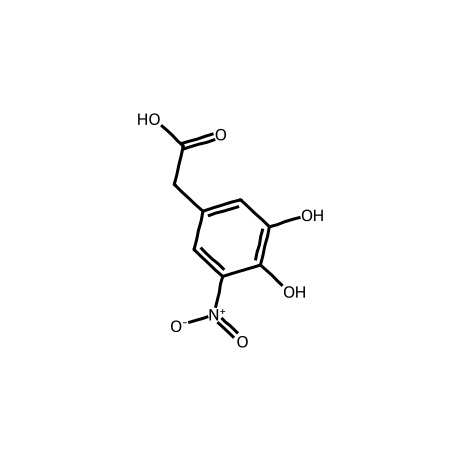 O=C(O)Cc1cc(O)c(O)c([N+](=O)[O-])c1